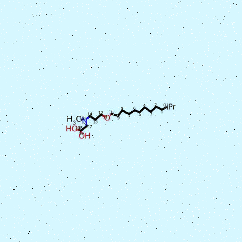 CC(C)CCCCCCCCCCOCCCN(C)CC(O)O